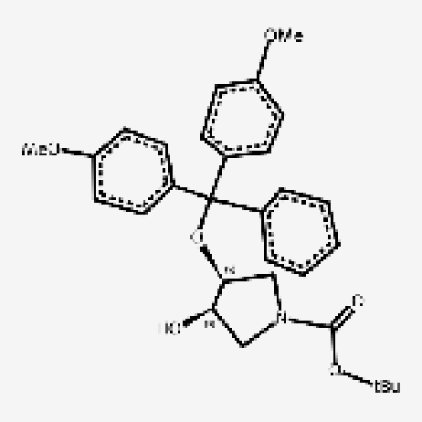 COc1ccc(C(O[C@H]2CN(C(=O)OC(C)(C)C)C[C@H]2O)(c2ccccc2)c2ccc(OC)cc2)cc1